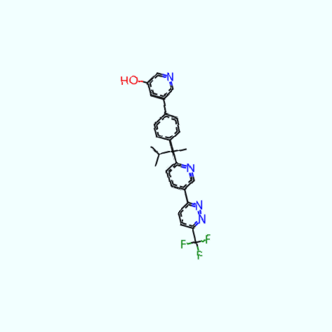 CC(C)C(C)(c1ccc(-c2cncc(O)c2)cc1)c1ccc(-c2ccc(C(F)(F)F)nn2)cn1